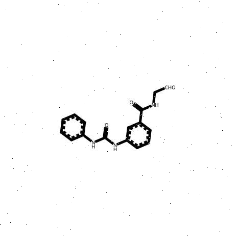 O=C[CH]NC(=O)c1cccc(NC(=O)Nc2ccccc2)c1